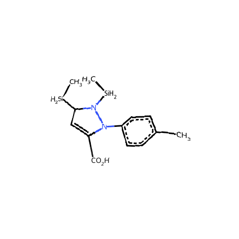 C[SiH2]C1C=C(C(=O)O)N(c2ccc(C)cc2)N1[SiH2]C